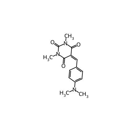 CN1C(=O)C(=Cc2ccc(N(C)C)cc2)C(=O)N(C)C1=O